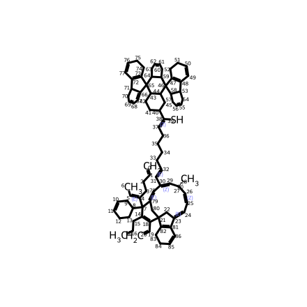 C=CCC/C(=C\C)C1(C2CC=CCC2)C(CCC)=C(C=C)C23C/C(=C\C=C/[C@@H](C)/C=C(/C=C/CCCC/C=C(\S)C4CCC5C(C4)C4(C6=C(C=CCC6)C6CC=CCC64)C4CC=CCC4C54C5=CC=CCC5C5=C4CCC=C5)\C=C\1C2)C1=C3CCC=C1